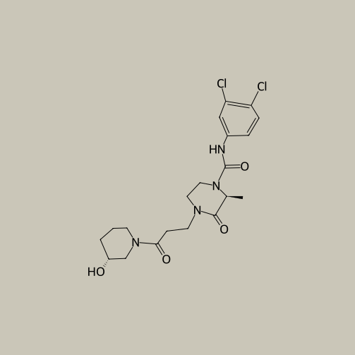 C[C@H]1C(=O)N(CCC(=O)N2CCC[C@@H](O)C2)CCN1C(=O)Nc1ccc(Cl)c(Cl)c1